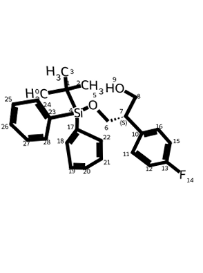 CC(C)(C)[Si](OC[C@H](CO)c1ccc(F)cc1)(c1ccccc1)c1ccccc1